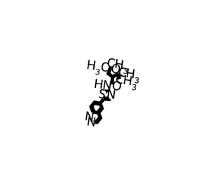 CC1(C)CC(C(=O)Nc2ncc(-c3ccc4nnccc4c3)s2)C(C)(C)O1